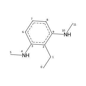 CCc1c(NC)cccc1NC